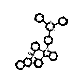 O=P1(c2ccc3ccccc3c2)c2ccccc2-c2c(n(-c3ccc(-c4nc(-c5ccccc5)nc(-c5ccccc5)n4)cc3)c3ccccc23)-c2ccccc21